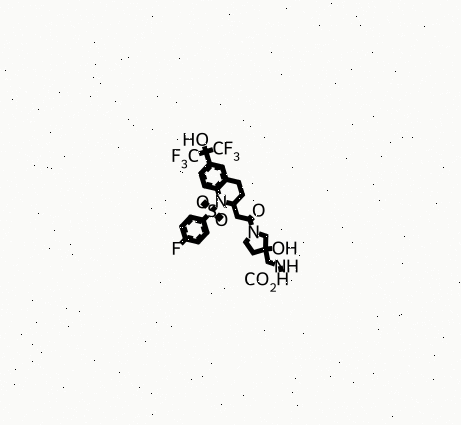 O=C(O)NCC1(O)CCN(C(=O)CC2CCc3cc(C(O)(C(F)(F)F)C(F)(F)F)ccc3N2S(=O)(=O)c2ccc(F)cc2)C1